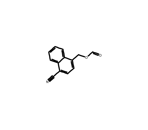 N#Cc1ccc(CO[C]=O)c2ccccc12